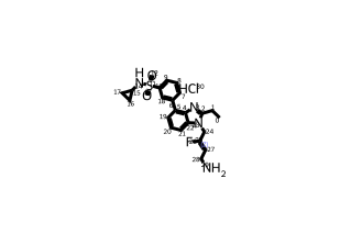 CCc1nc2c(-c3cccc(S(=O)(=O)NC4CC4)c3)cccc2n1C/C(F)=C/CN.Cl